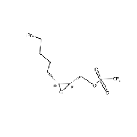 CC(C)CCCC[C@H]1O[C@H]1COS(=O)(=O)C(F)(F)F